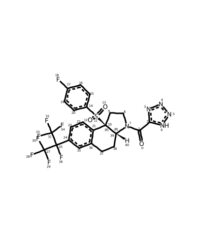 O=C(c1nnn[nH]1)N1CC[C@@]2(S(=O)(=O)c3ccc(F)cc3)c3ccc(C(F)(C(F)(F)F)C(F)(F)F)cc3CC[C@@H]12